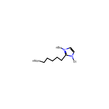 CCCCCCCCCCCCCCc1n(CC)cc[n+]1CCCC